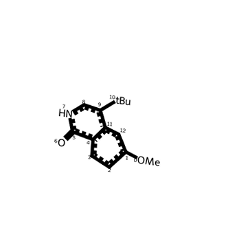 COc1ccc2c(=O)[nH]cc(C(C)(C)C)c2c1